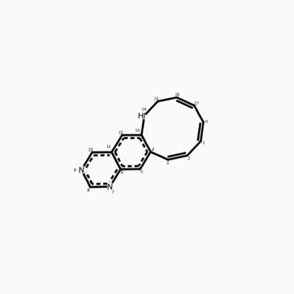 C1=CC=Cc2cc3ncncc3cc2[IH]CC=C1